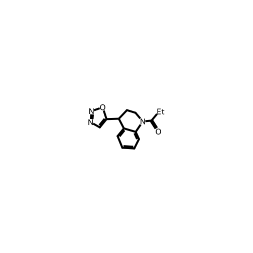 CCC(=O)N1CCC(c2cnno2)c2ccccc21